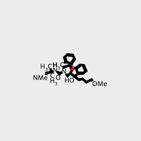 CNCC(C)(C)NC(=O)N1CCCC([C@@](O)(CCCCOC)c2ccccc2Oc2ccccc2C)C1